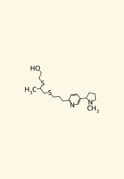 CC(CSCCCc1ccc(C2CCCN2C)cn1)SCCO